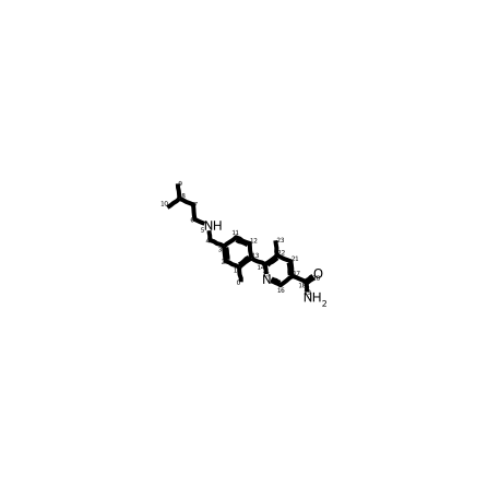 Cc1cc(CNCCC(C)C)ccc1-c1ncc(C(N)=O)cc1C